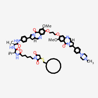 COc1cc2c(cc1OCCCOc1cc3c(cc1OC)C(=O)N1C=C(c4ccc(N5CCN(C)CC5)cc4)C[C@H]1C=N3)N=C[C@@H]1CC(c3ccc(NC(=O)[C@H](C)NC(=O)[C@@H](NC(=O)CCCCCN4C(=O)CC(SCC5CCCCCCCCCCCCCC5)C4=O)C(C)C)cc3)=CN1C2=O